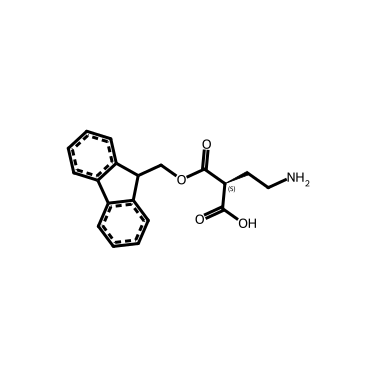 NCC[C@@H](C(=O)O)C(=O)OCC1c2ccccc2-c2ccccc21